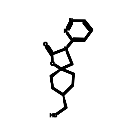 O=C1O[C@]2(CC[C@H](CO)CC2)CN1c1cccnn1